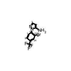 Nc1ccnn1-c1ccc(C(F)(F)F)cc1Br